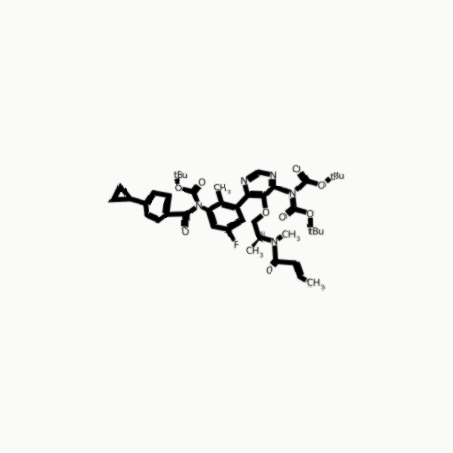 CC=CC(=O)N(C)[C@@H](C)COc1c(-c2cc(F)cc(N(C(=O)OC(C)(C)C)C(=O)c3ccc(C4CC4)cc3)c2C)ncnc1N(C(=O)OC(C)(C)C)C(=O)OC(C)(C)C